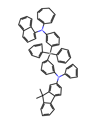 CC1(C)c2ccccc2-c2ccc(N(c3ccccc3)c3cccc([Si](c4ccccc4)(c4ccccc4)c4cccc(N(C5=CC=CCC=C5)c5cccc6ccccc56)c4)c3)cc21